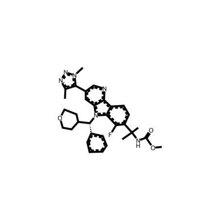 COC(=O)NC(C)(C)c1ccc2c3ncc(-c4c(C)nnn4C)cc3n([C@H](c3ccccc3)C3CCOCC3)c2c1F